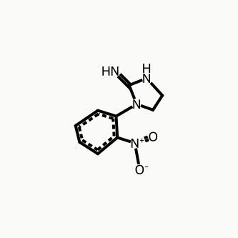 N=C1NCCN1c1ccccc1[N+](=O)[O-]